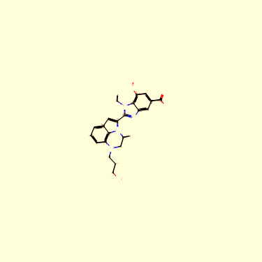 CCn1c(-c2cc3cccc4c3n2C(C)CN4CCCO)nc2cc(C(=O)O)cc(OC)c21